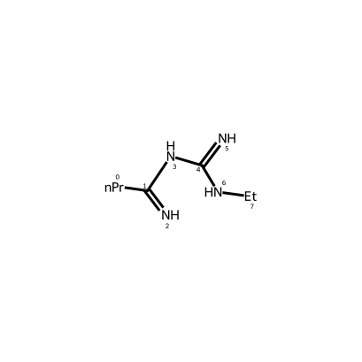 CCCC(=N)NC(=N)NCC